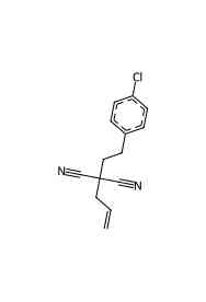 C=CCC(C#N)(C#N)CCc1ccc(Cl)cc1